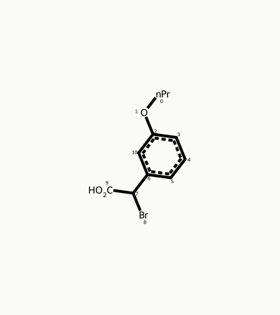 CCCOc1cccc(C(Br)C(=O)O)c1